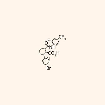 O=C(Nc1ccc(C(F)(F)F)cc1F)C1CCCC(c2ccc(Br)cn2)C1C(=O)O